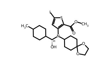 COC(=O)c1sc(I)cc1N(C1CCC2(CC1)OCCO2)[C@H](O)C1CCC(C)CC1